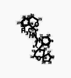 CC1(CNCC[C@@]2(c3ccccn3)CCOC3(CCCC3)C2)OCCc2ccsc21